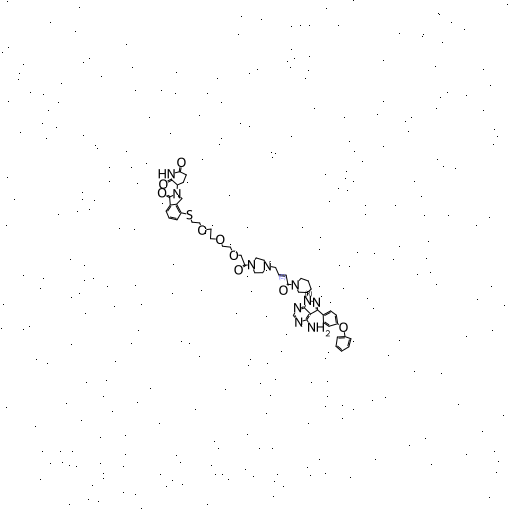 Nc1ncnc2c1c(-c1ccc(Oc3ccccc3)cc1)nn2[C@@H]1CCCN(C(=O)/C=C/CN2CCN(C(=O)COCCOCCOCCSc3cccc4c3CN(C3CCC(=O)NC3=O)C4=O)CC2)C1